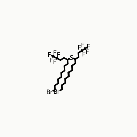 FC(F)(F)C(F)(F)CCC(CCCCCCCCCBr)SC(CCCCCCCCCBr)CCC(F)(F)C(F)(F)F